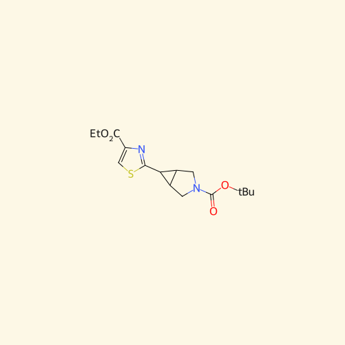 CCOC(=O)c1csc(C2C3CN(C(=O)OC(C)(C)C)CC32)n1